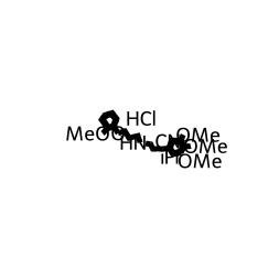 COc1ccccc1OCCCNCCC(C#N)(c1cc(OC)c(OC)c(OC)c1)C(C)C.Cl